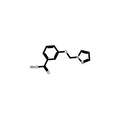 COC(=O)c1cccc(OCn2cccn2)c1